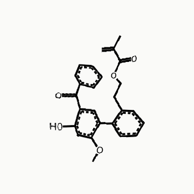 C=C(C)C(=O)OCCc1ccccc1-c1cc(C(=O)c2ccccc2)c(O)cc1OC